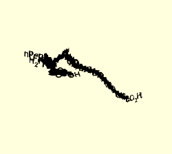 CCCCCc1cc2c(CCCCCN(C)CCOCCOCCOCCOCCOCCOCCOCCOCCOCCOCCC(=O)O)cc(-c3cccc(S(=O)(=O)N4CC(CO)C4)c3)cc2nc1N